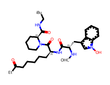 CCC(=O)CCCCC[C@H](NC(=O)[C@H](Cc1cn(O)c2ccccc12)NC=O)C(=O)N1CCCC[C@H]1C(=O)NCC(C)CC